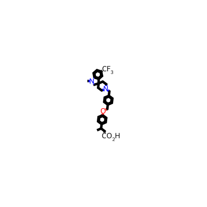 CC(CC(=O)O)c1ccc(OCc2ccc(CN3CCC4(CC3)CN(C)c3ccc(C(F)(F)F)cc34)cc2)cc1